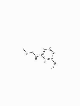 CCCNc1cccc([N]C)n1